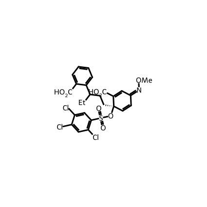 CCC(CC[C@@]1(OS(=O)(=O)c2cc(Cl)c(Cl)cc2Cl)C=C/C(=N/OC)C=C1C(=O)O)c1ccccc1C(=O)O